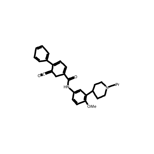 COc1ccc(NC(=O)C2=CC=C(c3ccccc3)C(=C=O)C2)cc1C1CCN(C(C)C)CC1